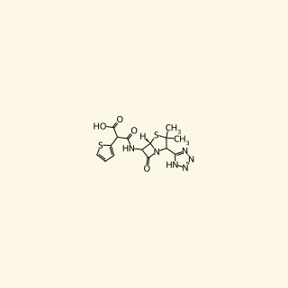 CC1(C)S[C@H]2C(NC(=O)C(C(=O)O)c3cccs3)C(=O)N2C1c1nnn[nH]1